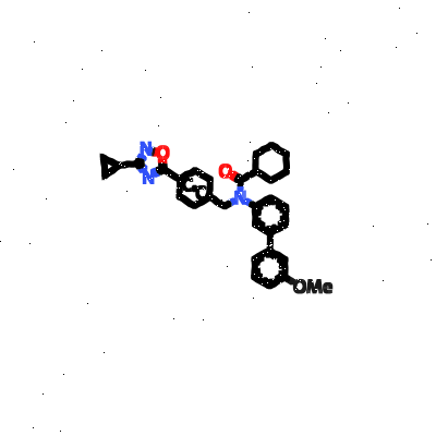 COc1cccc(-c2cccc(N(CC34CCC(c5nc(C6CC6)no5)(CC3)CC4)C(=O)C3CCCCC3)c2)c1